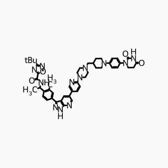 Cc1cc(-c2n[nH]c3ncc(-c4ccc(N5CCN(CC6CCN(c7ccc(N8CCC(=O)NC8=O)cc7)CC6)CC5)nc4)cc23)ccc1C(C)NC(=O)c1nc(C(C)(C)C)no1